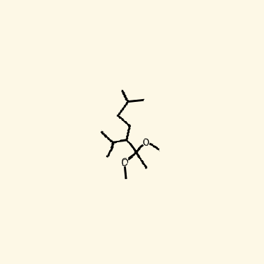 COC(C)(OC)C(CCC(C)C)C(C)C